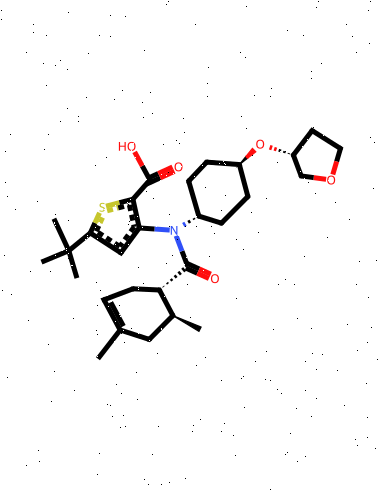 CC1=CC[C@H](C(=O)N(c2cc(C(C)(C)C)sc2C(=O)O)[C@H]2CC[C@H](O[C@@H]3CCOC3)CC2)[C@@H](C)C1